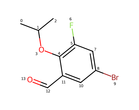 CC(C)Oc1c(F)cc(Br)cc1C=O